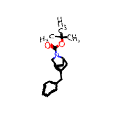 CC(C)(C)OC(=O)N1CC2CC1CC2Cc1ccccc1